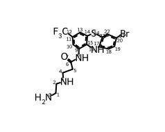 NCCNCCC(=O)Nc1cc(C(F)(F)F)cc2c1Nc1ccc(Br)cc1S2